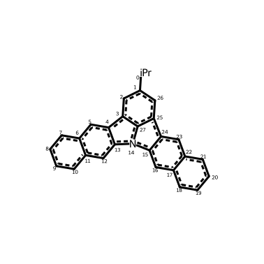 CC(C)c1cc2c3cc4ccccc4cc3n3c4cc5ccccc5cc4c(c1)c23